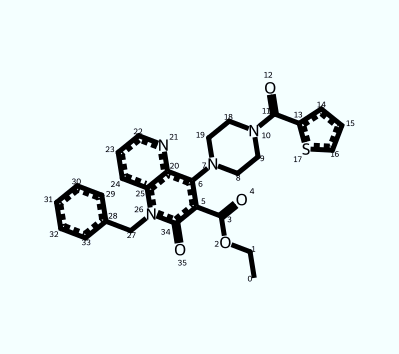 CCOC(=O)c1c(N2CCN(C(=O)c3cccs3)CC2)c2ncccc2n(Cc2ccccc2)c1=O